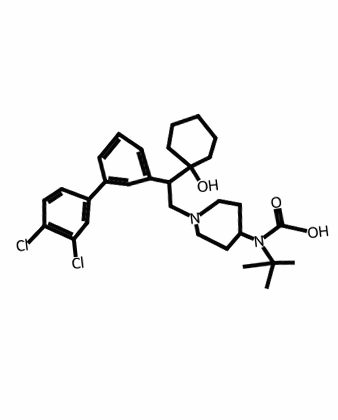 CC(C)(C)N(C(=O)O)C1CCN(CC(c2cccc(-c3ccc(Cl)c(Cl)c3)c2)C2(O)CCCCC2)CC1